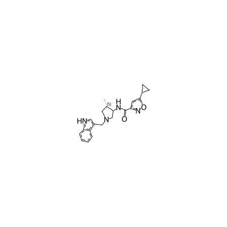 C[C@H]1CN(Cc2c[nH]c3ccccc23)CC1NC(=O)c1cc(C2CC2)on1